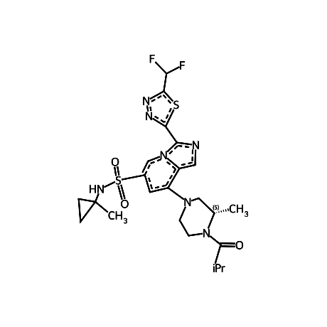 CC(C)C(=O)N1CCN(c2cc(S(=O)(=O)NC3(C)CC3)cn3c(-c4nnc(C(F)F)s4)ncc23)C[C@@H]1C